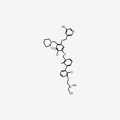 Cc1c(COc2cc(OCc3cncc(C#N)c3)c(CN3CCCC[C@H]3C(=O)O)cc2Cl)cccc1-c1cccc(OC[C@H](O)CO)c1Cl